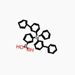 OB(O)c1cccc([Si](c2ccccc2)(c2cccc(-c3ccccc3)c2)c2cccc(-c3ccccc3)c2)c1